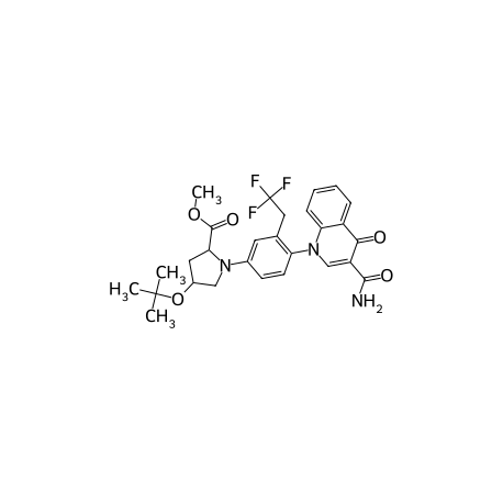 COC(=O)C1CC(OC(C)(C)C)CN1c1ccc(-n2cc(C(N)=O)c(=O)c3ccccc32)c(CC(F)(F)F)c1